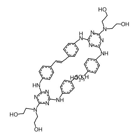 O=S(=O)(O)c1ccc(Nc2nc(Nc3ccc(C=Cc4ccc(Nc5nc(Nc6ccc(S(=O)(=O)O)cc6)nc(N(CCO)CCO)n5)cc4)cc3)nc(N(CCO)CCO)n2)cc1